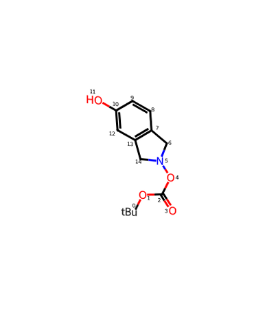 CC(C)(C)OC(=O)ON1Cc2ccc(O)cc2C1